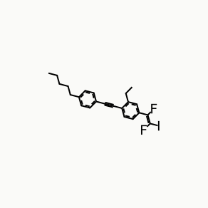 CCCCCc1ccc(C#Cc2ccc(/C(F)=C(\F)I)cc2CC)cc1